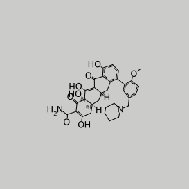 COc1ccc(CN2CCCCC2)cc1-c1ccc(O)c2c1C[C@H]1C[C@H]3CC(O)=C(C(N)=O)C(=O)[C@@]3(O)C(O)=C1C2=O